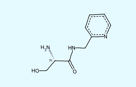 N[C@@H](CO)C(=O)NCc1ccccn1